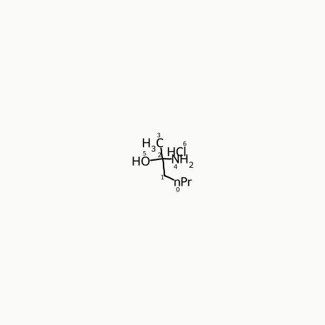 CCCCC(C)(N)O.Cl